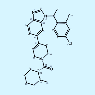 CC(c1ccc(Cl)cc1Cl)n1cnc2ccc(C3=CCN(C(=O)[C@H]4CCCCN4C)CC3)cc21